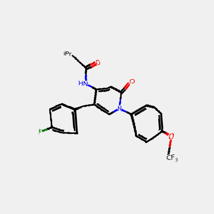 CC(C)C(=O)Nc1cc(=O)n(-c2ccc(OC(F)(F)F)cc2)cc1-c1ccc(F)cc1